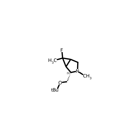 CN1CC2C([C@H]1COC(C)(C)C)C2(C)F